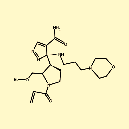 C=CC(=O)N1CC[C@H]([C@@]2(NCCCN3CCOCC3)N=NC=C2C(N)=O)C1COCC